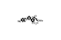 COCCn1c(Cl)nc2c(-c3cccc(OCc4ccc(C#N)cc4F)n3)cc(C(=O)O)cc21